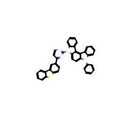 c1ccc(-n2c3ccccc3c3c4c5ccccc5n(-c5nccc(-c6ccc7sc8ccccc8c7c6)n5)c4ccc32)cc1